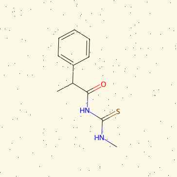 CNC(=S)NC(=O)C(C)c1ccccc1